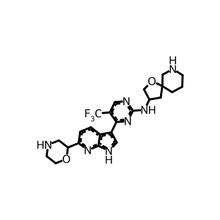 FC(F)(F)c1cnc(NC2COC3(CCCNC3)C2)nc1-c1c[nH]c2nc(C3CNCCO3)ccc12